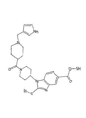 CCSc1nc2cc(C(=O)OS)ccc2n1C1CCN(C(=O)C2CCN(Cc3cc[nH]c3)CC2)CC1